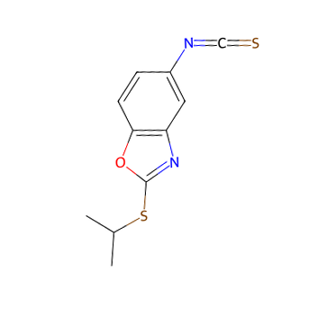 CC(C)Sc1nc2cc(N=C=S)ccc2o1